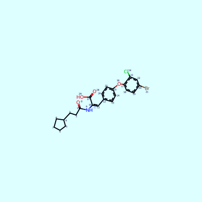 O=C(CCC1CCCC1)N/C(=C/c1ccc(Oc2ccc(Br)cc2Cl)cc1)C(=O)O